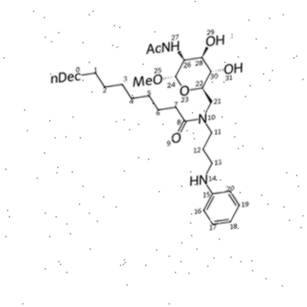 CCCCCCCCCCCCCCCCCC(=O)N(CCCNc1ccccc1)C[C@H]1O[C@H](OC)[C@@H](NC(C)=O)[C@@H](O)[C@@H]1O